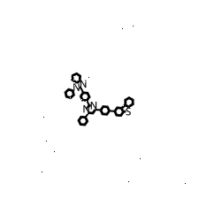 c1ccc(-c2cc(-c3ccc(-c4ccc5sc6ccccc6c5c4)cc3)nc(-c3ccc(-c4nc5ccccc5n4-c4ccccc4)cc3)n2)cc1